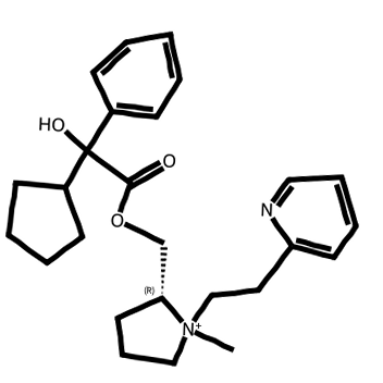 C[N+]1(CCc2ccccn2)CCC[C@@H]1COC(=O)C(O)(c1ccccc1)C1CCCC1